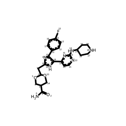 NC(=O)C1COC(Cc2nc(-c3ccc(F)cc3)c(-c3ccnc(NC4CCNCC4)n3)[nH]2)OC1